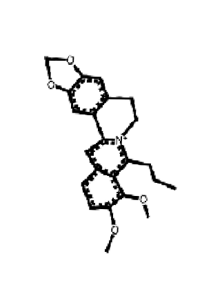 CCCc1c2c(OC)c(OC)ccc2cc2[n+]1CCc1cc3c(cc1-2)OCO3